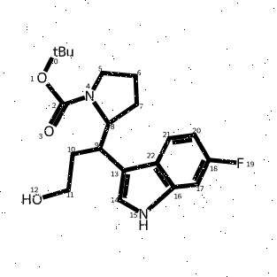 CC(C)(C)OC(=O)N1CCCC1C(CCO)c1c[nH]c2cc(F)ccc12